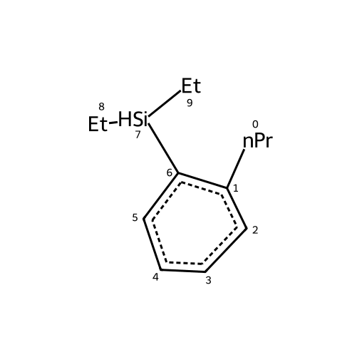 CCCc1ccccc1[SiH](CC)CC